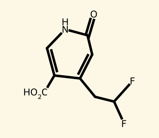 O=C(O)c1c[nH]c(=O)cc1CC(F)F